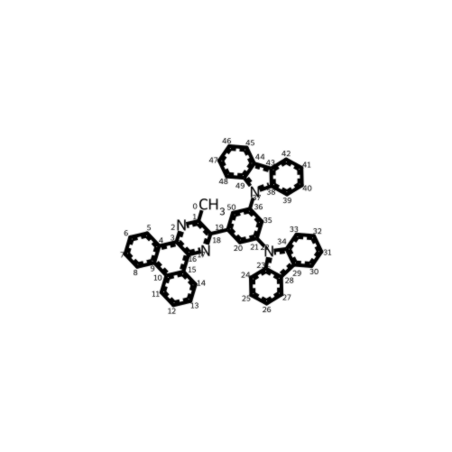 Cc1nc2c3ccccc3c3ccccc3c2nc1-c1cc(-n2c3ccccc3c3ccccc32)cc(-n2c3ccccc3c3ccccc32)c1